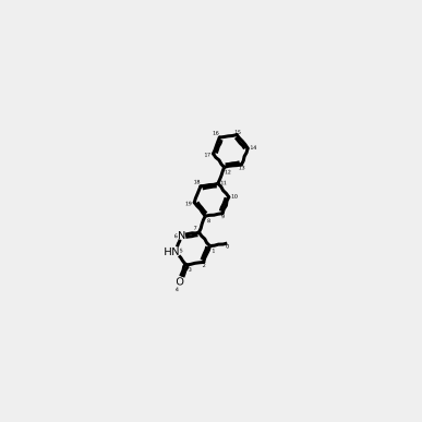 Cc1cc(=O)[nH]nc1-c1ccc(-c2ccccc2)cc1